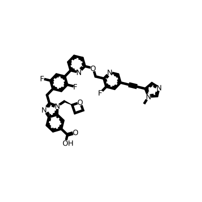 Cn1cncc1C#Cc1cnc(COc2cccc(-c3cc(F)c(Cc4nc5ccc(C(=O)O)cc5n4C[C@@H]4CCO4)cc3F)n2)c(F)c1